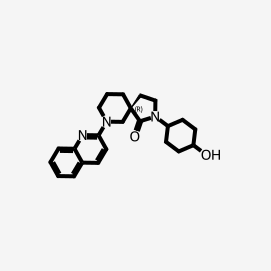 O=C1N(C2CCC(O)CC2)CC[C@@]12CCCN(c1ccc3ccccc3n1)C2